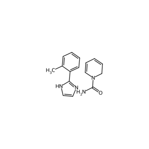 Cc1ccccc1-c1ncc[nH]1.NC(=O)N1C=CC=CC1